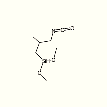 CO[SiH](CC(C)CN=C=O)OC